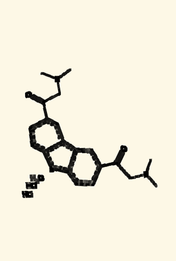 CN(C)CC(=O)c1ccc2sc3ccc(C(=O)CN(C)C)cc3c2c1.Cl.Cl.O